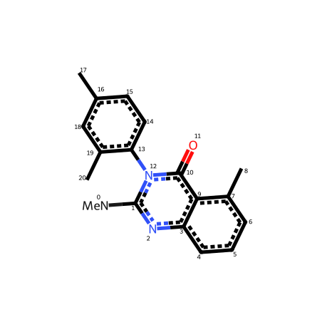 CNc1nc2cccc(C)c2c(=O)n1-c1ccc(C)cc1C